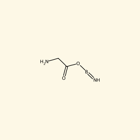 N=BOC(=O)CN